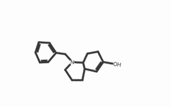 OC1=CC2CCCN(Cc3ccccc3)C2CC1